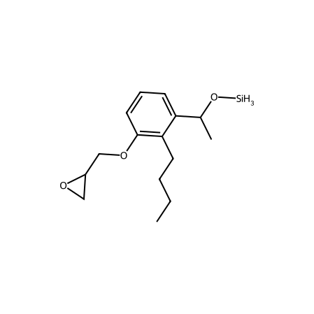 CCCCc1c(OCC2CO2)cccc1C(C)O[SiH3]